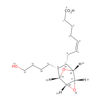 O=C(O)CCC/C=C\C[C@H]1[C@@H](CCCCO)[C@@H]2O[C@H]1[C@@H]1O[C@@H]12